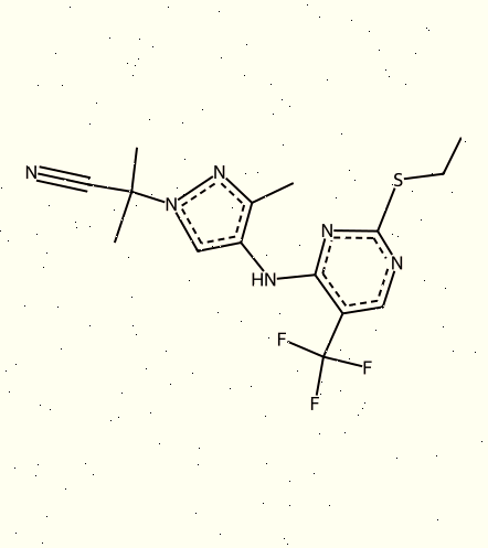 CCSc1ncc(C(F)(F)F)c(Nc2cn(C(C)(C)C#N)nc2C)n1